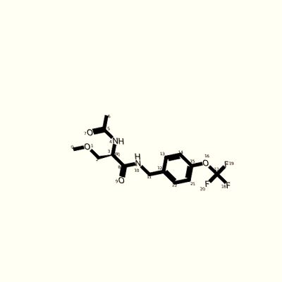 COC[C@@H](NC(C)=O)C(=O)NCc1ccc(OC(F)(F)F)cc1